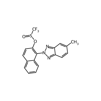 Cc1ccc2nn(-c3c(OS(=O)C(F)(F)F)ccc4ccccc34)nc2c1